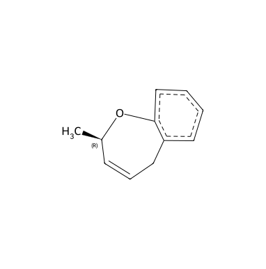 C[C@@H]1C=CCc2ccccc2O1